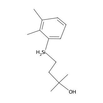 Cc1cccc([SiH2]CCC(C)(C)O)c1C